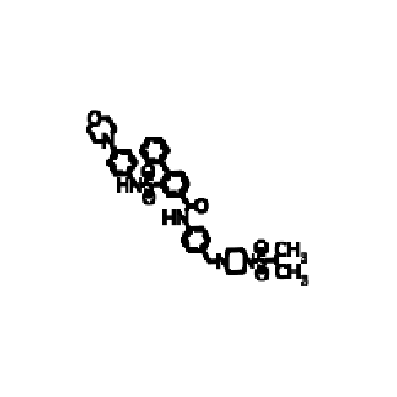 CC(C)S(=O)(=O)N1CCN(Cc2ccc(NC(=O)c3ccc(-c4ccccc4)c(S(=O)(=O)Nc4ccc(N5CCOCC5)cc4)c3)cc2)CC1